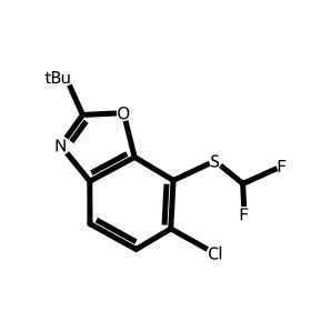 CC(C)(C)c1nc2ccc(Cl)c(SC(F)F)c2o1